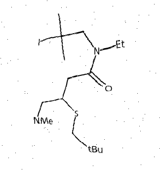 CCN(CC(C)(C)I)C(=O)CC(CNC)SCC(C)(C)C